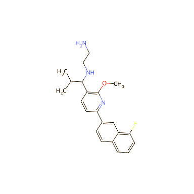 COc1nc(-c2ccc3cccc(F)c3c2)ccc1C(NCCN)C(C)C